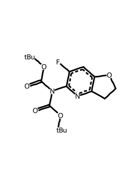 CC(C)(C)OC(=O)N(C(=O)OC(C)(C)C)c1nc2c(cc1F)OCC2